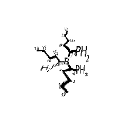 CCCCC(P)B(C(P)CCCC)C(P)CCCC